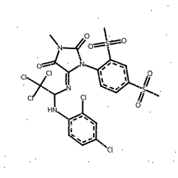 CN1C(=O)C(=NC(Nc2ccc(Cl)cc2Cl)C(Cl)(Cl)Cl)N(c2ccc(S(C)(=O)=O)cc2S(C)(=O)=O)C1=O